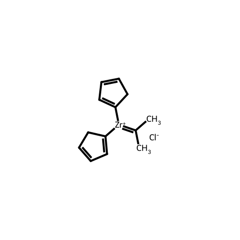 C[C](C)=[Zr+]([C]1=CC=CC1)[C]1=CC=CC1.[Cl-]